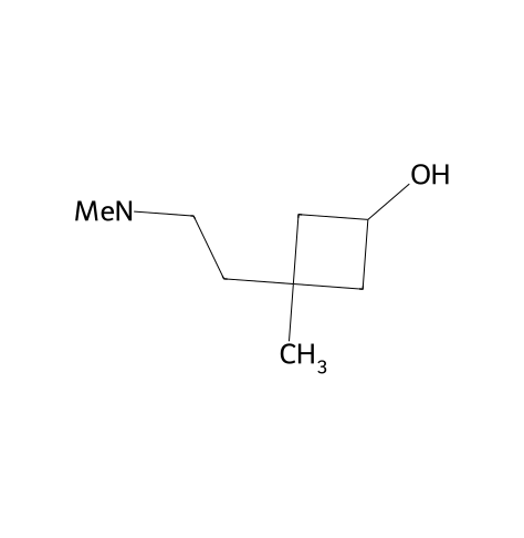 CNCCC1(C)CC(O)C1